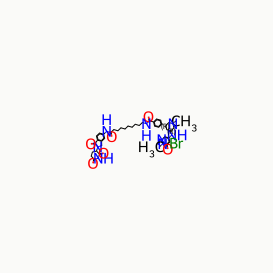 CN1C[C@H](Nc2cnn(C)c(=O)c2Br)C[C@H](c2ccc(C(=O)NCCCCCCCCCC(=O)Nc3ccc4c(c3)CN(C3CCC(=O)NC3=O)C4=O)cc2)C1